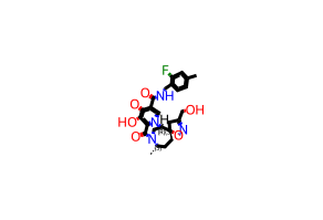 Cc1ccc(CNC(=O)c2cn3c(c(O)c2=O)C(=O)N2C[C@@H]3[C@]3(CC[C@@H]2C)CC(CO)=NO3)c(F)c1